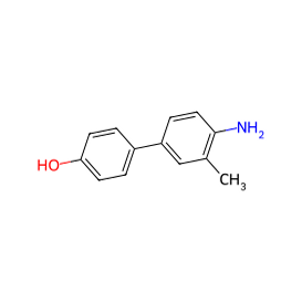 Cc1cc(-c2ccc(O)cc2)ccc1N